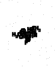 CN/C(=N/C#N)NCCCC1(c2ccccc2)SC(c2cc(F)ccc2F)=NN1C(=O)C(C)=O